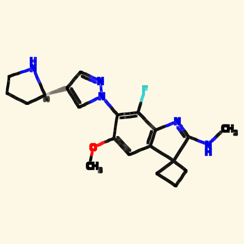 CNC1=Nc2c(cc(OC)c(-n3cc([C@@H]4CCCN4)cn3)c2F)C12CCC2